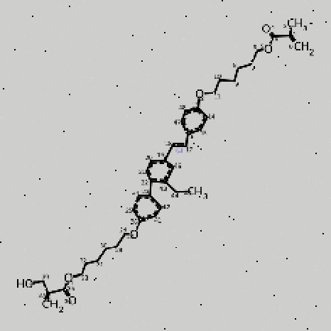 C=C(C)C(=O)OCCCCCCOc1ccc(/C=C/c2ccc(-c3ccc(OCCCCCCOC(=O)C(=C)CO)cc3)c(CC)c2)cc1